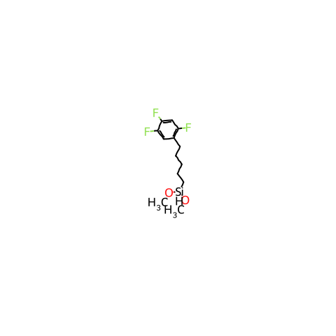 CO[SiH](CCCCCc1cc(F)c(F)cc1F)OC